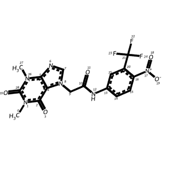 Cn1c(=O)c2c(ncn2CC(=O)Nc2ccc([N+](=O)[O-])c(C(F)(F)F)c2)n(C)c1=O